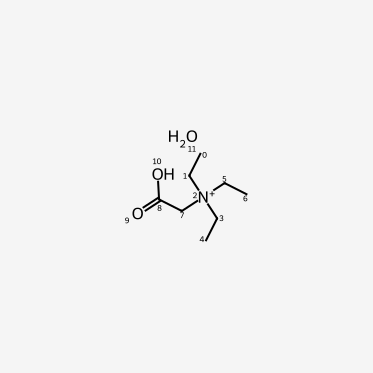 CC[N+](CC)(CC)CC(=O)O.O